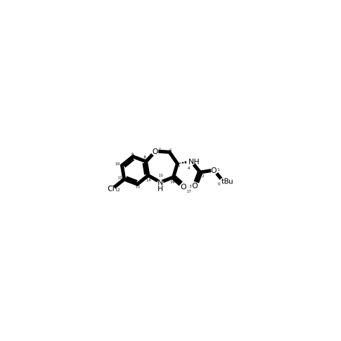 CC(C)(C)OC(=O)N[C@H]1COc2ccc(Cl)cc2NC1=O